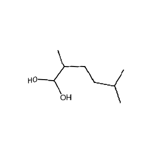 CC(C)CCC(C)C(O)O